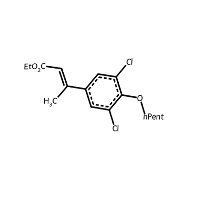 CCCCCOc1c(Cl)cc(/C(C)=C/C(=O)OCC)cc1Cl